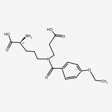 CCOc1ccc(C(=O)N(CCC[C@H](N)C(=O)O)CCC(=O)O)cc1